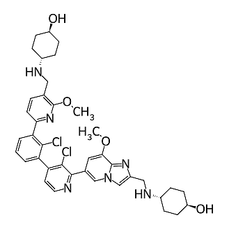 COc1nc(-c2cccc(-c3ccnc(-c4cc(OC)c5nc(CN[C@H]6CC[C@H](O)CC6)cn5c4)c3Cl)c2Cl)ccc1CN[C@H]1CC[C@H](O)CC1